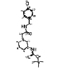 CC(C)(C)OC(=O)NC1CCCN(CC(=O)NCc2ccc(Cl)cc2)C1